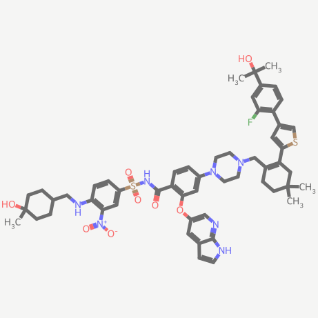 CC1(C)CCC(CN2CCN(c3ccc(C(=O)NS(=O)(=O)c4ccc(NCC5CCC(C)(O)CC5)c([N+](=O)[O-])c4)c(Oc4cnc5[nH]ccc5c4)c3)CC2)=C(c2cc(-c3ccc(C(C)(C)O)cc3F)cs2)C1